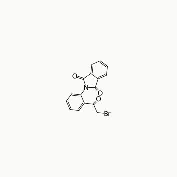 O=C(CBr)c1ccccc1N1C(=O)c2ccccc2C1=O